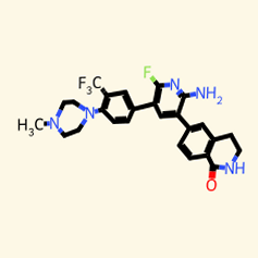 CN1CCN(c2ccc(-c3cc(-c4ccc5c(c4)CCNC5=O)c(N)nc3F)cc2C(F)(F)F)CC1